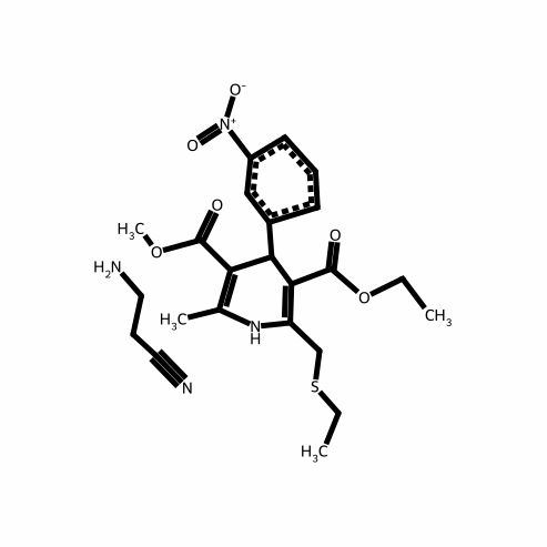 CCOC(=O)C1=C(CSCC)NC(C)=C(C(=O)OC)C1c1cccc([N+](=O)[O-])c1.N#CCCN